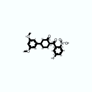 COc1cc(OC)cc(C2CCC(C(=O)c3cc(F)ccc3[N+](=O)[O-])C(=O)C2)c1